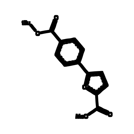 COC(=O)c1ccc(-c2ccc(C(=O)OC(C)(C)C)cc2)o1